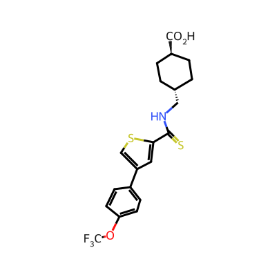 O=C(O)[C@H]1CC[C@H](CNC(=S)c2cc(-c3ccc(OC(F)(F)F)cc3)cs2)CC1